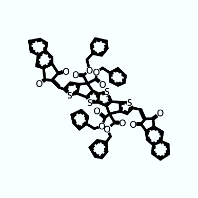 O=C1C(=Cc2cc3c(s2)-c2sc4c5c(sc4c2C3(C(=O)OCc2ccccc2)C(=O)OCc2ccccc2)-c2sc(C=C3C(=O)c4cc6ccccc6cc4C3=O)cc2C5(C(=O)OCc2ccccc2)C(=O)OCc2ccccc2)C(=O)c2cc3ccccc3cc21